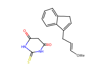 COC=CCC1=CCc2ccccc21.O=C1CC(=O)NC(=S)N1